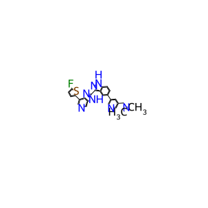 CN(C)Cc1cncc(-c2ccc3[nH]nc(-c4nc5c(-c6ccc(F)s6)cncc5[nH]4)c3c2)c1